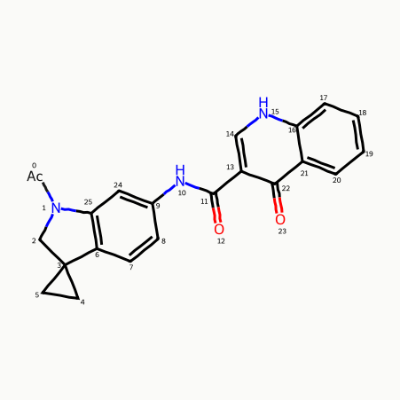 CC(=O)N1CC2(CC2)c2ccc(NC(=O)c3c[nH]c4ccccc4c3=O)cc21